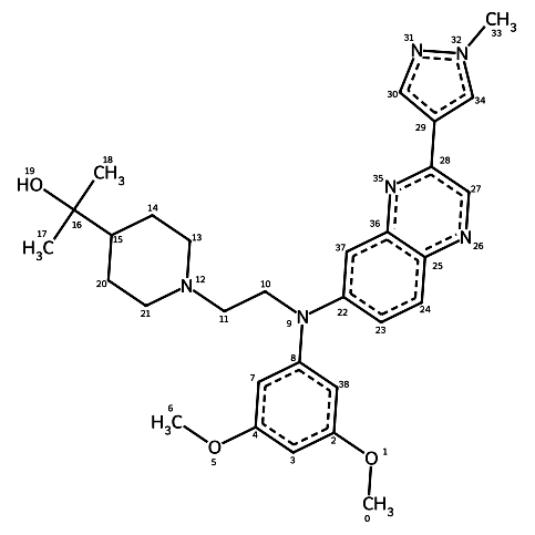 COc1cc(OC)cc(N(CCN2CCC(C(C)(C)O)CC2)c2ccc3ncc(-c4cnn(C)c4)nc3c2)c1